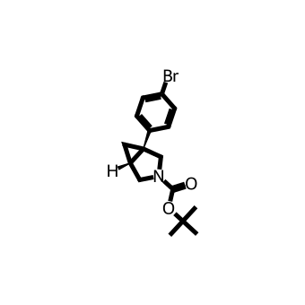 CC(C)(C)OC(=O)N1C[C@@H]2C[C@]2(c2ccc(Br)cc2)C1